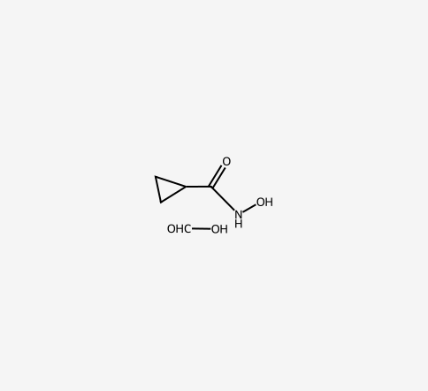 O=C(NO)C1CC1.O=CO